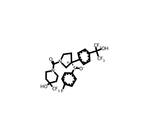 O=C(N1CCC(O)(C(F)(F)F)CC1)N1CC[C@](c2ccc(C(O)(C(F)(F)F)C(F)(F)F)cc2)([S+]([O-])c2ccc(F)cc2)C1